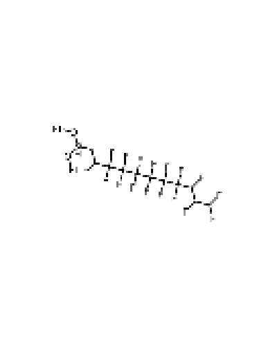 CCO[SiH](CC(F)C(F)(F)C(F)(F)C(F)(F)C(F)(F)C(F)(F)C(F)(F)C(F)C(F)C(F)F)OCC